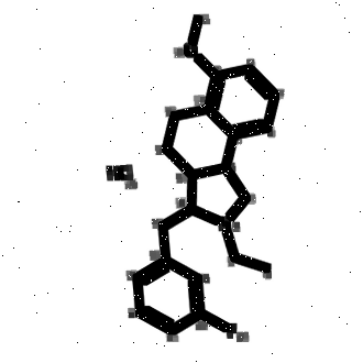 CCN1CC2c3cccc(OC)c3CCC2C1Cc1cccc(F)c1.Cl